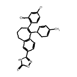 CC1=CCC(C2=C(c3ccc(Cl)cc3Cl)CCCc3cc(-c4noc(=S)[nH]4)ccc32)C=C1